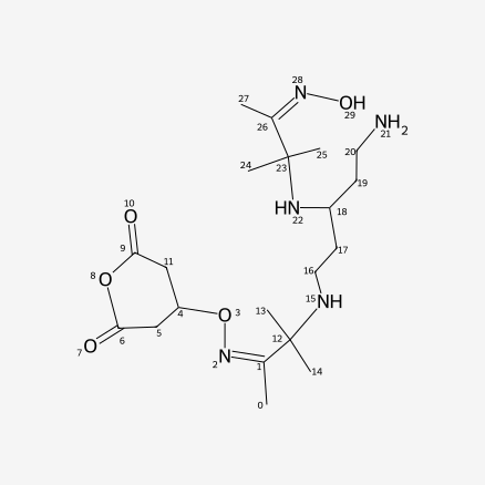 C/C(=N/OC1CC(=O)OC(=O)C1)C(C)(C)NCCC(CCN)NC(C)(C)/C(C)=N\O